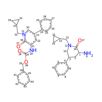 NC1CC(c2ccccc2)CN(CC2CC2)C1=O.O=C(Nc1cc(-c2ccccc2)cn(CC2CC2)c1=O)OCc1ccccc1